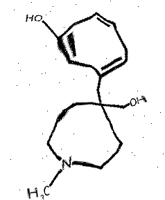 CN1CCC(O)(c2cccc(O)c2)CC1